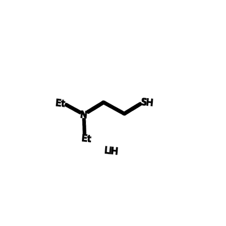 CCN(CC)CCS.[LiH]